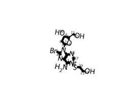 Nc1c2nc(Br)n([C@H]3CC(O)[C@@H](CO)O3)c2nc[n+]1SCCO